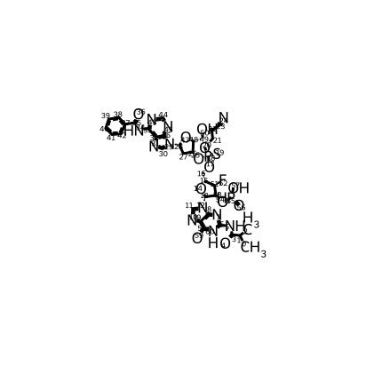 CC(C)C(=O)Nc1nc2c(ncn2[C@@H]2O[C@H](COP(=S)(OCCC#N)O[C@H]3C[C@H](n4cnc5c(NC(=O)c6ccccc6)ncnc54)O[C@@H]3CO)[C@@H](F)[C@H]2O[PH](=O)O)c(=O)[nH]1